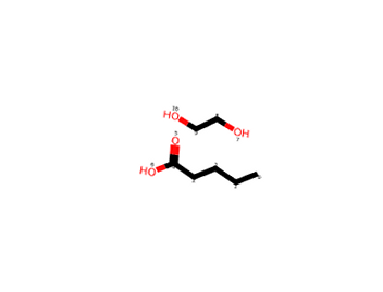 CCCCC(=O)O.OCCO